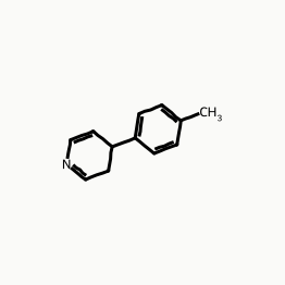 Cc1ccc(C2C=CN=CC2)cc1